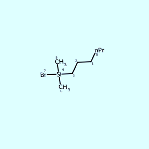 CCCCCC[Si](C)(C)Br